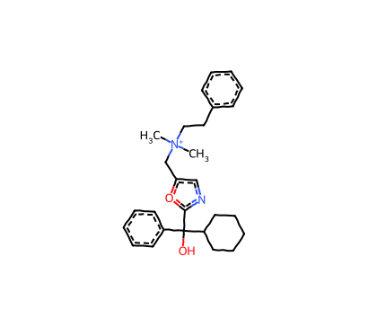 C[N+](C)(CCc1ccccc1)Cc1cnc(C(O)(c2ccccc2)C2CCCCC2)o1